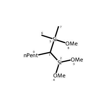 CCCCCC([Si](OC)OC)[Si](C)(C)OC